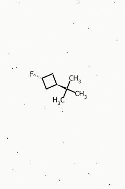 CC(C)(C)[C@H]1C[C@H](F)C1